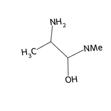 CNC(O)C(C)N